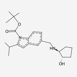 CC(C)c1cc2cc(CN[C@H]3CCC[C@@H]3O)ccc2n1C(=O)OC(C)(C)C